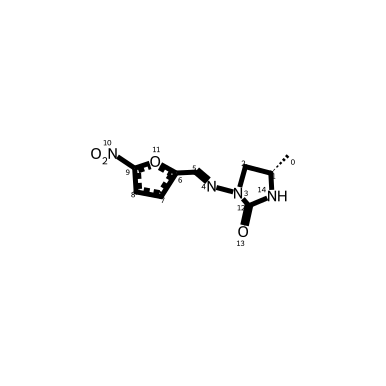 C[C@H]1CN(N=Cc2ccc([N+](=O)[O-])o2)C(=O)N1